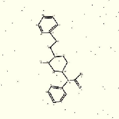 CCC(=O)N(c1ccccc1)C1CCN(CCc2ccccc2)C(C)C1